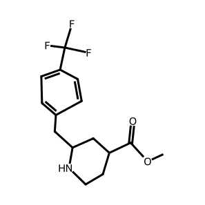 COC(=O)C1CCNC(Cc2ccc(C(F)(F)F)cc2)C1